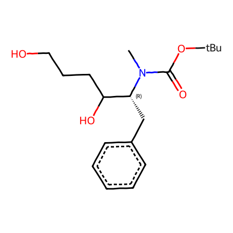 CN(C(=O)OC(C)(C)C)[C@H](Cc1ccccc1)C(O)CCCO